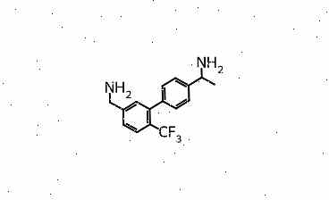 CC(N)c1ccc(-c2cc(CN)ccc2C(F)(F)F)cc1